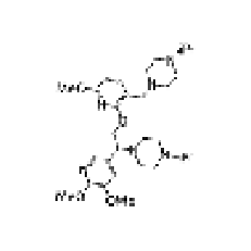 COc1ccc(CN2CCN(C(C)C)CC2)c(OCC(c2cnc(OC)c(OC)c2)N2CCN(C(C)C)CC2)n1